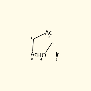 CC(=O)CC(C)=O.CO.[Ir]